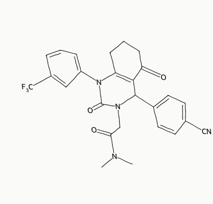 CN(C)C(=O)CN1C(=O)N(c2cccc(C(F)(F)F)c2)C2=C(C(=O)CCC2)C1c1ccc(C#N)cc1